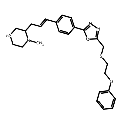 CN1CCNCC1CC=Cc1ccc(-c2nnc(CSCCOc3ccccc3)o2)cc1